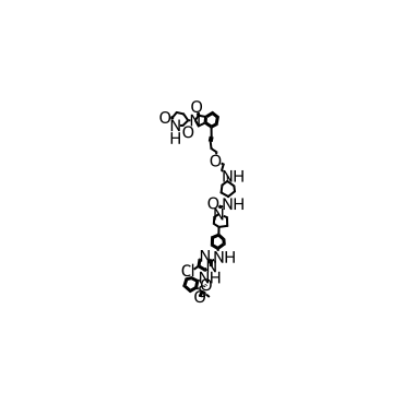 CS(=O)(=O)c1ccccc1Nc1nc(Nc2ccc(C3CCN(C(=O)N[C@H]4CC[C@H](NCCOCCC#Cc5cccc6c5CN(C5CCC(=O)NC5=O)C6=O)CC4)CC3)cc2)ncc1Cl